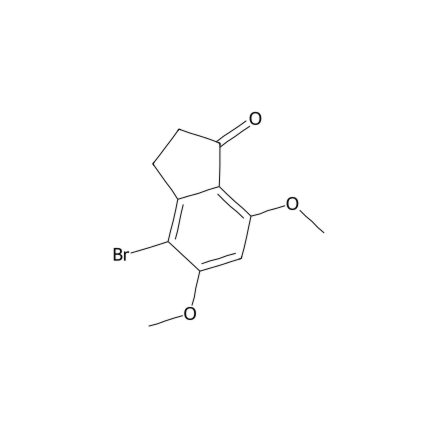 COc1cc(OC)c2c(c1Br)CCC2=O